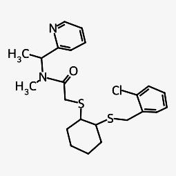 CC(c1ccccn1)N(C)C(=O)CSC1CCCCC1SCc1ccccc1Cl